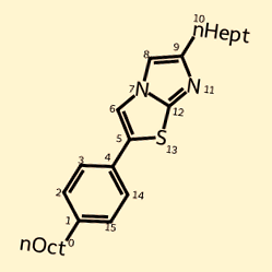 CCCCCCCCc1ccc(-c2cn3cc(CCCCCCC)nc3s2)cc1